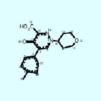 Cc1ccc(-c2cn(C3CCOCC3)nc(C(=O)O)c2=O)cc1